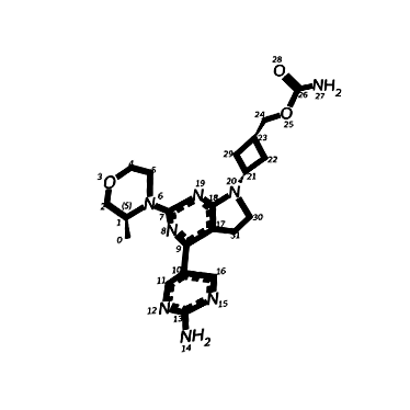 C[C@H]1COCCN1c1nc(-c2cnc(N)nc2)c2c(n1)N([C@H]1C[C@H](COC(N)=O)C1)CC2